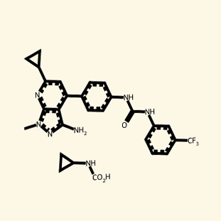 Cn1nc(N)c2c(-c3ccc(NC(=O)Nc4cccc(C(F)(F)F)c4)cc3)cc(C3CC3)nc21.O=C(O)NC1CC1